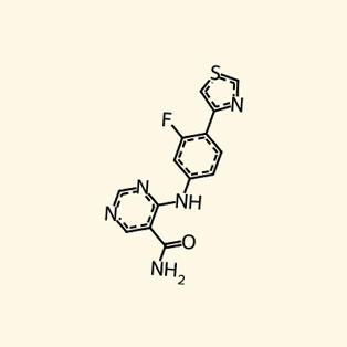 NC(=O)c1cncnc1Nc1ccc(-c2cscn2)c(F)c1